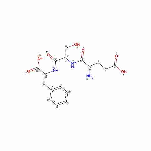 N[C@@H](CCC(=O)O)C(=O)N[C@@H](CO)C(=O)N[C@H](Cc1ccccc1)C(=O)O